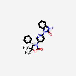 CC1(C)OC(=O)N(c2ccc(-n3c(=O)[nH]c4ccccc43)nc2)[C@H]1c1ccccc1